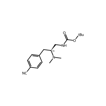 CN(C)[C@H](CNC(=O)OC(C)(C)C)Cc1ccc(C#N)cc1